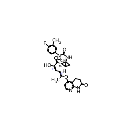 C=C(/C(O)=C\C=C(/C)Oc1ccnc2c1CCC(=O)N2)[C@@H]1[C@@H]2C[C@@]12NC(=O)Nc1ccc(F)c(C)c1